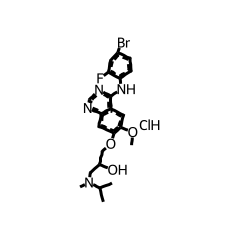 COc1cc2c(Nc3ccc(Br)cc3F)ncnc2cc1OCC(O)CN(C)C(C)C.Cl